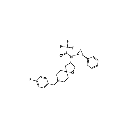 O=C(N(C1COC2(CCN(Cc3ccc(F)cc3)CC2)C1)[C@@H]1C[C@H]1c1ccccc1)C(F)(F)F